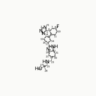 Cn1cnnc1-c1cc(F)ccc1-c1cccc(-c2nc3cc(CNCC(C)(C)O)ccc3[nH]2)c1